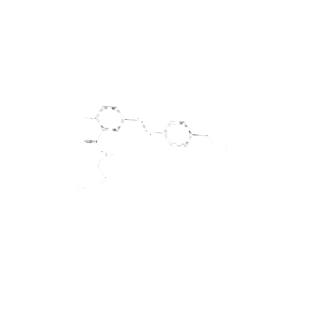 O=C(O)Cc1ccc(/N=N/c2ccc(O)c(C(=O)NCCS(=O)(=O)O)c2)cc1